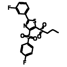 CCCS(=O)(=O)c1sc(-c2cccc(F)c2)nc1S(=O)(=O)c1ccc(F)cc1